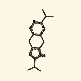 CC(C)c1cc2c(cn1)Cc1cc(C(C)C)[nH]c1C2